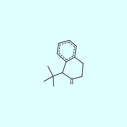 CC(C)(C)C1NCCc2ccccc21